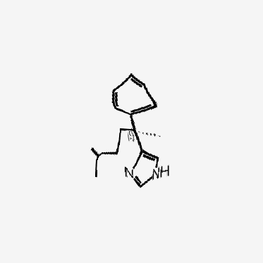 [CH2][C@](CCC(C)C)(c1ccccc1)c1c[nH]cn1